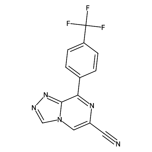 N#Cc1cn2cnnc2c(-c2ccc(C(F)(F)F)cc2)n1